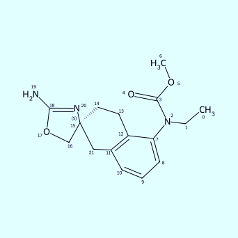 CCN(C(=O)OC)c1cccc2c1CC[C@@]1(COC(N)=N1)C2